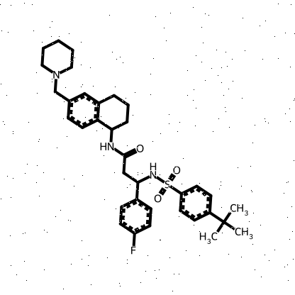 CC(C)(C)c1ccc(S(=O)(=O)NC(CC(=O)NC2CCCc3cc(CN4CCCCC4)ccc32)c2ccc(F)cc2)cc1